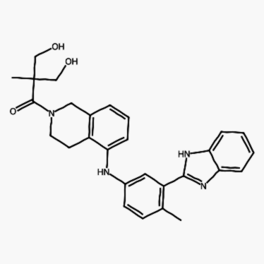 Cc1ccc(Nc2cccc3c2CCN(C(=O)C(C)(CO)CO)C3)cc1-c1nc2ccccc2[nH]1